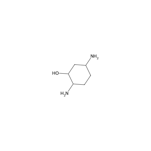 NC1CCC(N)C(O)C1